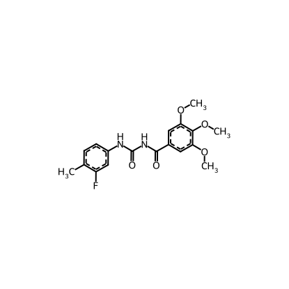 COc1cc(C(=O)NC(=O)Nc2ccc(C)c(F)c2)cc(OC)c1OC